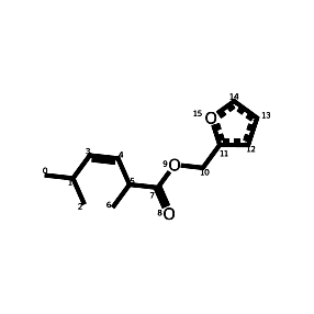 CC(C)/C=C\C(C)C(=O)OCc1ccco1